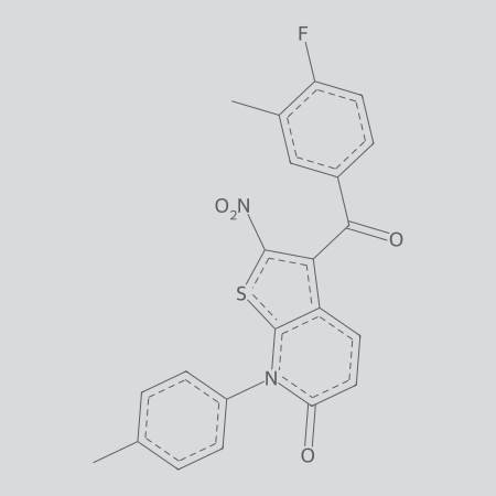 Cc1ccc(-n2c(=O)ccc3c(C(=O)c4ccc(F)c(C)c4)c([N+](=O)[O-])sc32)cc1